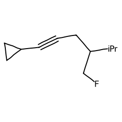 CC(C)C(CF)CC#CC1CC1